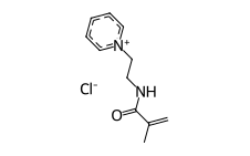 C=C(C)C(=O)NCC[n+]1ccccc1.[Cl-]